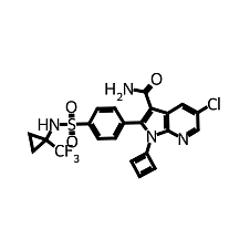 NC(=O)c1c(-c2ccc(S(=O)(=O)NC3(C(F)(F)F)CC3)cc2)n(C2=CC=C2)c2ncc(Cl)cc12